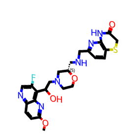 COc1ccc2ncc(F)c(C(O)CN3CCO[C@@H](CNCc4ccc5c(n4)NC(=O)CS5)C3)c2n1